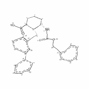 O=C(N[C@H]1CCCN(C(=O)O)[C@H]1Cc1cccc(-c2ccccc2)n1)OCc1ccccc1